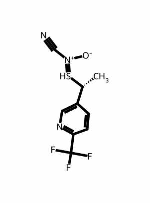 C[C@@H]([SH]=[N+]([O-])C#N)c1ccc(C(F)(F)F)nc1